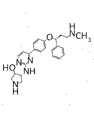 CNCC[C@H](Oc1ccc(-c2ccnc(N[C@@H]3CNC[C@H]3O)n2)cc1)c1ccccc1